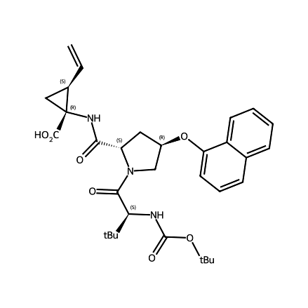 C=C[C@@H]1C[C@]1(NC(=O)[C@@H]1C[C@@H](Oc2cccc3ccccc23)CN1C(=O)[C@@H](NC(=O)OC(C)(C)C)C(C)(C)C)C(=O)O